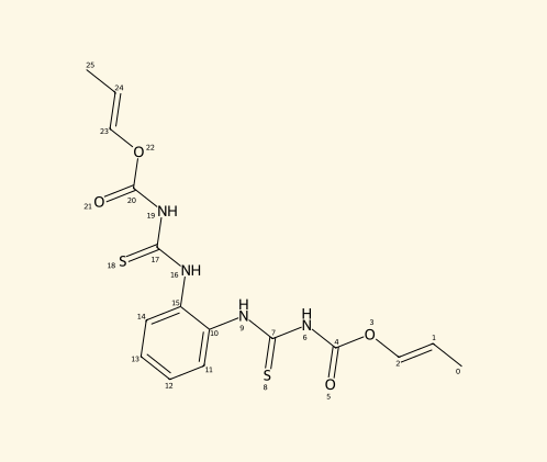 CC=COC(=O)NC(=S)Nc1ccccc1NC(=S)NC(=O)OC=CC